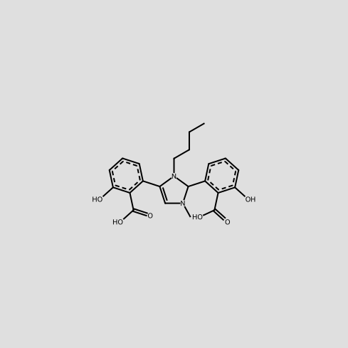 CCCCN1C(c2cccc(O)c2C(=O)O)=CN(C)C1c1cccc(O)c1C(=O)O